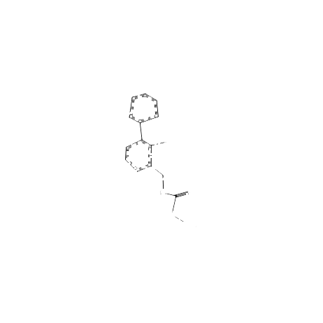 COC(=O)NCc1cccc(-c2ccccc2)c1C